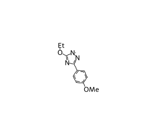 CCOC1=NC(c2ccc(OC)cc2)=N[N]1